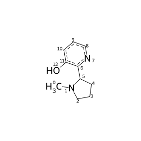 CN1CCCC1c1ncccc1O